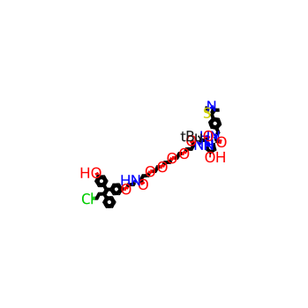 Cc1ncsc1-c1ccc(CNC(=O)[C@@H]2C[C@@H](O)CN2C(=O)[C@@H](NC(=O)CCOCCOCCOCCOCCC(=O)NCCOc2ccc(C(=C(CCCl)c3ccccc3)c3ccc(O)cc3)cc2)C(C)(C)C)cc1